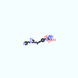 C=C/C(=C\C=C(/C)C#Cc1ccc(C(=O)N(C)C(C(=O)NC)C(=O)NO)cc1)CNCCc1ccncc1